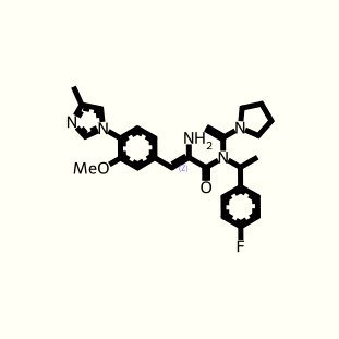 C=C(N1CCCC1)N(C(=O)/C(N)=C/c1ccc(-n2cnc(C)c2)c(OC)c1)C(C)c1ccc(F)cc1